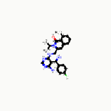 Cc1cccc2cc(CNc3ncnc(N)c3C(=N)c3ccc(Cl)cc3)n(C(C)C)c(=O)c12